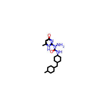 Cc1cc(=O)nc(N(N)C(=O)NC2CCC(CC3CCC(C)CC3)CC2)[nH]1